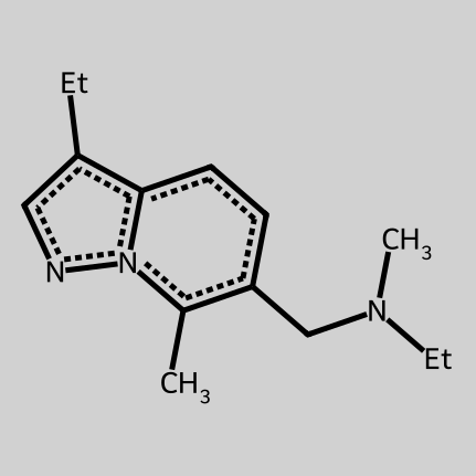 CCc1cnn2c(C)c(CN(C)CC)ccc12